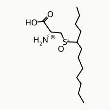 CCCCCCCC(CCCC)[S+]([O-])C[C@H](N)C(=O)O